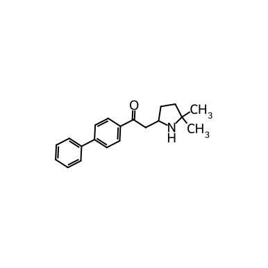 CC1(C)CCC(CC(=O)c2ccc(-c3ccccc3)cc2)N1